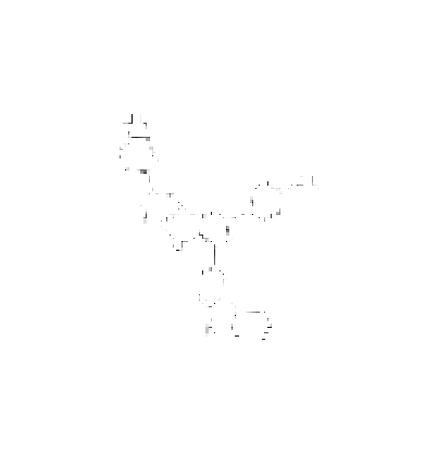 Cc1ccc(-c2ccc3oc4c(-c5ccc6[nH]c7ccccc7c6c5)cc(-c5ccc(C)cc5)cc4c3c2)cc1